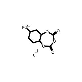 O=C1OC(=O)OC2C[CH]([Pd+2])CCC2O1.[Cl-].[Cl-]